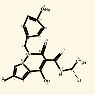 CC[C@H](NC(=O)c1c(O)c2cc(Cl)cn2n(Cc2ccc(OC)cc2)c1=O)C(=O)O